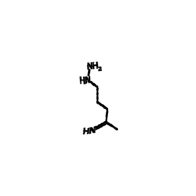 CC(=N)CCCNN